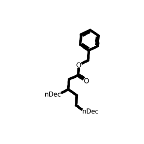 CCCCCCCCCCCCC(CCCCCCCCCC)CC(=O)OCc1ccccc1